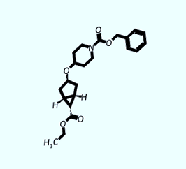 CCOC(=O)[C@@H]1[C@@H]2C[C@@H](OC3CCN(C(=O)OCc4ccccc4)CC3)C[C@@H]21